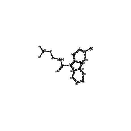 CC(=O)c1ccc2c(C(=O)NCCN(C)C)c3ccccc3n2c1